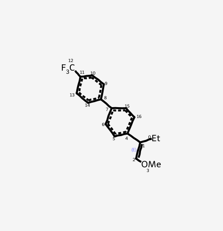 CC/C(=C\OC)c1ccc(-c2ccc(C(F)(F)F)cc2)cc1